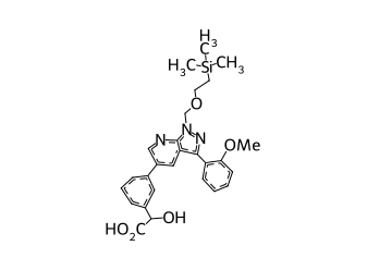 COc1ccccc1-c1nn(COCC[Si](C)(C)C)c2ncc(-c3cccc(C(O)C(=O)O)c3)cc12